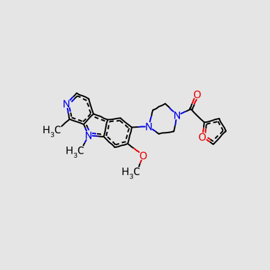 COc1cc2c(cc1N1CCN(C(=O)c3ccco3)CC1)c1ccnc(C)c1n2C